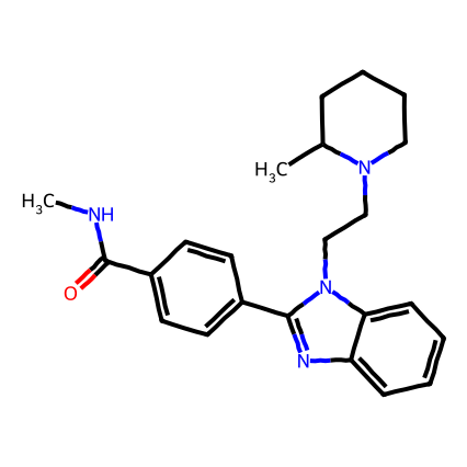 CNC(=O)c1ccc(-c2nc3ccccc3n2CCN2CCCCC2C)cc1